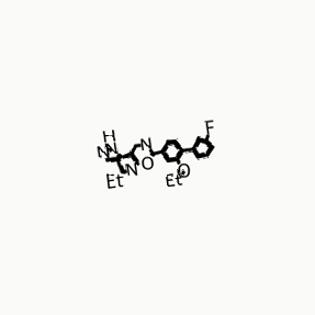 CCOc1cc(C(=O)N(C)Cc2cnc(CC)c3cn[nH]c23)ccc1-c1cccc(F)c1